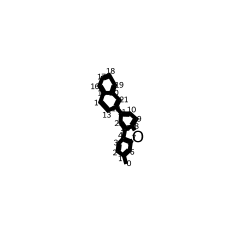 Cc1ccc2c(c1)oc1ccc(-c3ccc4ccccc4c3)cc12